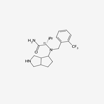 CC(C)[C@@H](C(N)=O)N(Cc1ccccc1C(F)(F)F)C1CCC2CNCC21